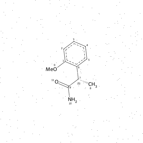 COc1ccccc1[C@H](C)C(N)=O